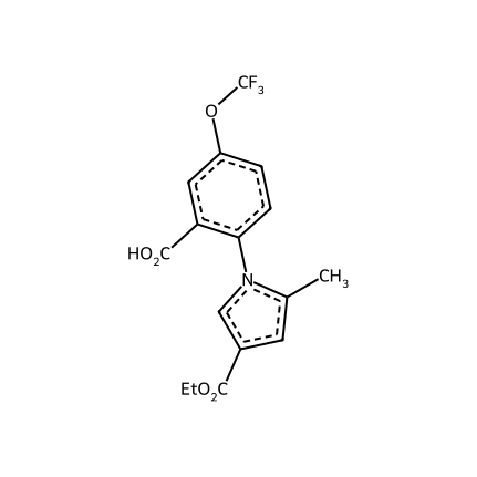 CCOC(=O)c1cc(C)n(-c2ccc(OC(F)(F)F)cc2C(=O)O)c1